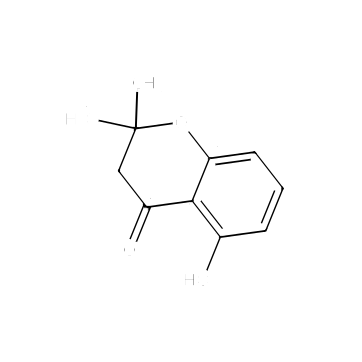 CC1(C)CC(=O)c2c(O)cccc2O1